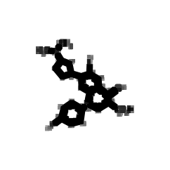 CN(C)C1CCC(c2cc3c(cc2F)c(=O)c(C(=O)O)cn3-c2ccc(F)cc2)C1